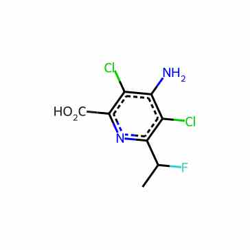 CC(F)c1nc(C(=O)O)c(Cl)c(N)c1Cl